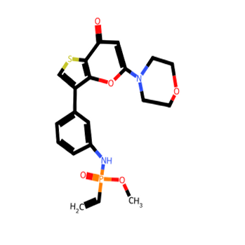 C=CP(=O)(Nc1cccc(-c2csc3c(=O)cc(N4CCOCC4)oc23)c1)OC